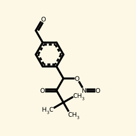 CC(C)(C)C(=O)C(ON=O)c1ccc(C=O)cc1